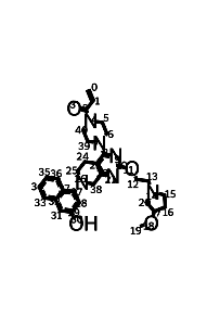 C=CC(=O)N1CCN(c2nc(OCCN3CCC(OC)C3)nc3c2CCN(c2cc(O)cc4ccccc24)C3)CC1